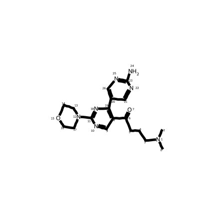 CN(C)CCCC(=O)c1cnc(N2CCOCC2)nc1-c1cnc(N)nc1